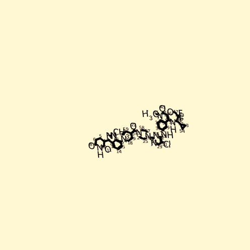 Cn1nc(C2CCC(=O)NC2=O)c2cccc(N3CCC(C(=O)N4CCN(c5ncc(Cl)c(Nc6ccc7c(c6)c6c(c(=O)n7C)OCC(F)(F)C(C7CC7)N6)n5)CC4)CC3)c21